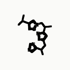 CC(C)c1co[n+](CC(C)c2cc(CC(C)c3cscn3)sn2)c1